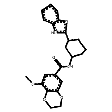 COc1cc(C(=O)NC2CCCC(c3nc4ccccc4[nH]3)C2)cc2c1OCCO2